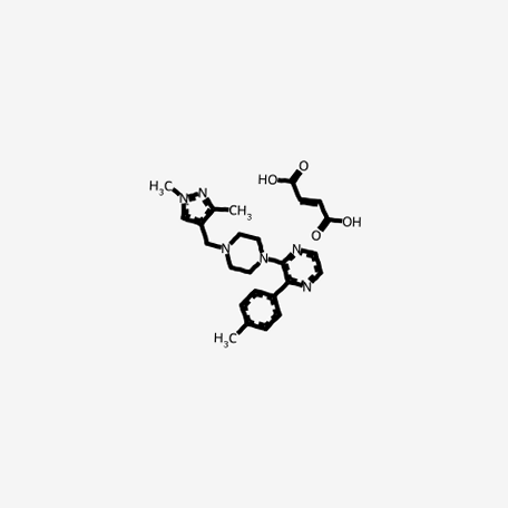 Cc1ccc(-c2nccnc2N2CCN(Cc3cn(C)nc3C)CC2)cc1.O=C(O)C=CC(=O)O